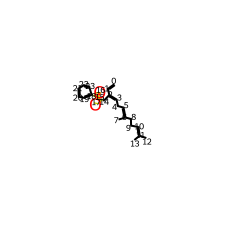 C=C/C(=C/C/C=C(\C)CCC=C(C)C)CS(=O)(=O)c1ccccc1